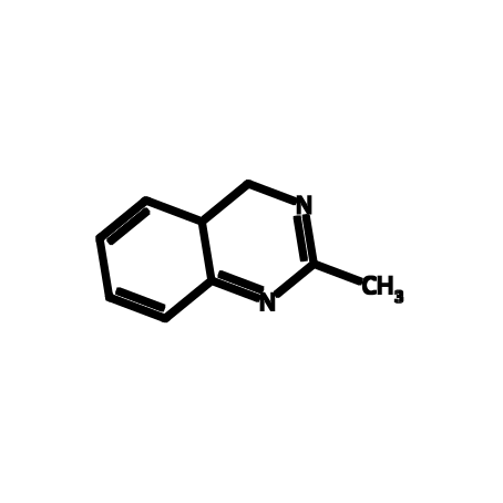 CC1=NCC2C=CC=CC2=N1